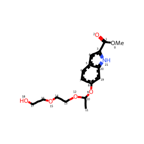 COC(=O)c1cc2ccc(OC(C)OCCOCCO)cc2[nH]1